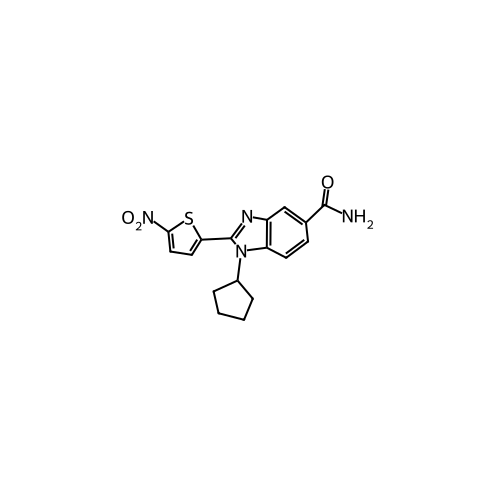 NC(=O)c1ccc2c(c1)nc(-c1ccc([N+](=O)[O-])s1)n2C1CCCC1